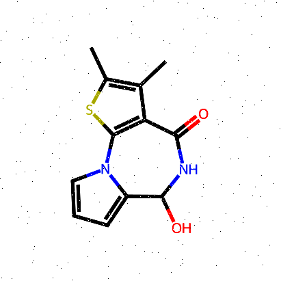 Cc1sc2c(c1C)C(=O)NC(O)c1cccn1-2